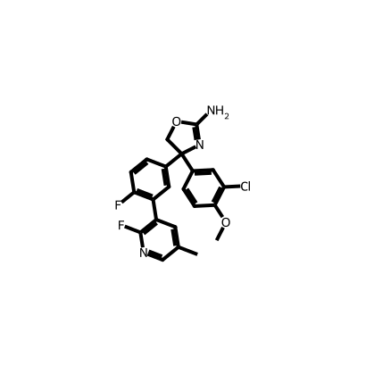 COc1ccc(C2(c3ccc(F)c(-c4cc(C)cnc4F)c3)COC(N)=N2)cc1Cl